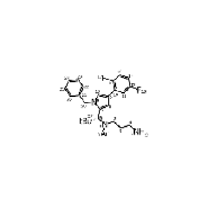 CC(=O)N(CCCN)[C@@H](c1cc(-c2cc(F)ccc2F)cn1Cc1ccccc1)C(C)(C)C